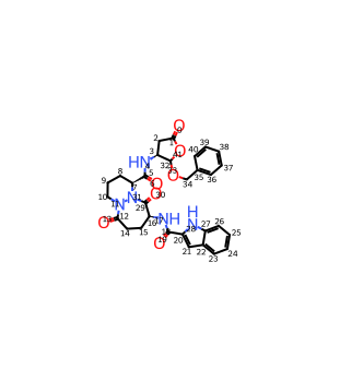 O=C1C[C@H](NC(=O)[C@@H]2CCCN3C(=O)CC[C@H](NC(=O)c4cc5ccccc5[nH]4)C(=O)N23)C(OCc2ccccc2)O1